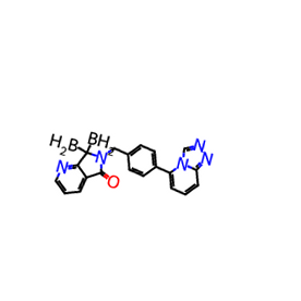 BC1(B)c2ncccc2C(=O)N1Cc1ccc(-c2cccc3nncn23)cc1